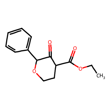 CCOC(=O)C1CCOC(c2ccccc2)C1=O